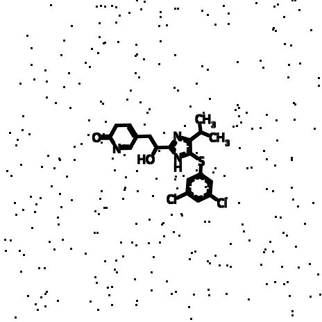 CC(C)c1nc(C(O)CC2=CCC(=O)N=C2)[nH]c1Sc1cc(Cl)cc(Cl)c1